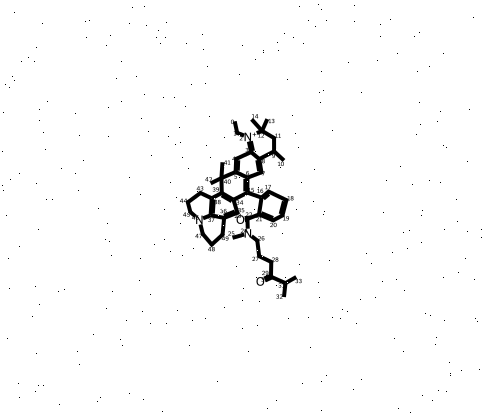 CC[N+]1=c2cc3c(cc2C(C)CC1(C)C)=C(c1ccccc1C(=O)N(C)CCCC(=O)C(C)C)c1cc2c4c(c1C3(C)C)CCCN4CCC2